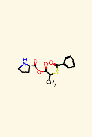 CC(SC(=O)c1ccccc1)C(=O)OC(=O)[C@@H]1CCCN1